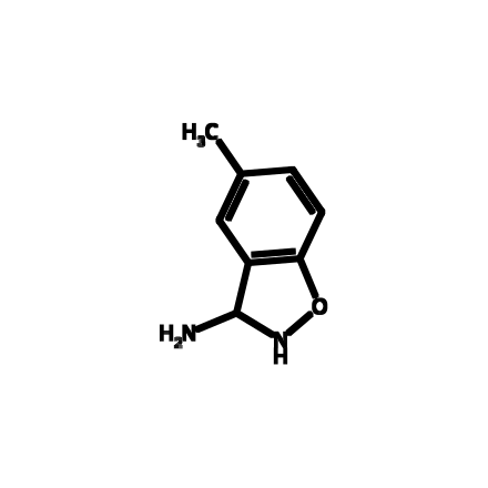 Cc1ccc2c(c1)C(N)NO2